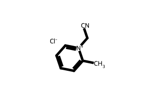 Cc1cccc[n+]1CC#N.[Cl-]